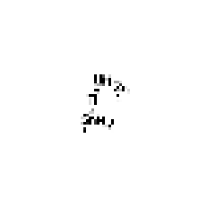 [LiH].[SnH2].[Ti].[Zn]